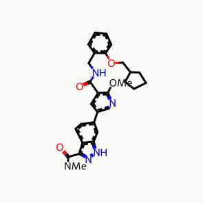 CNC(=O)c1n[nH]c2cc(-c3cnc(OC)c(C(=O)NCc4ccccc4OCC4CCCC4)c3)ccc12